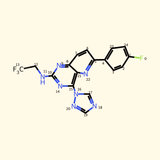 Fc1ccc(-c2ccc3nc(NCC(F)(F)F)nc(-n4cncn4)c3n2)cc1